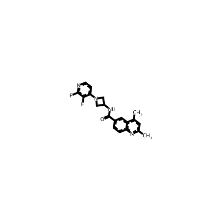 Cc1cc(C)c2cc(C(=O)NC3CN(c4ccnc(F)c4F)C3)ccc2n1